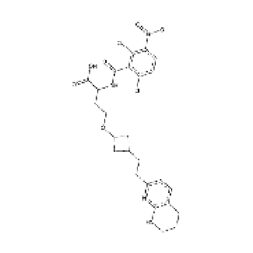 O=C(NC(CCOC1CC(CCc2ccc3c(n2)NCCC3)C1)C(=O)O)c1c(Cl)ccc([N+](=O)[O-])c1Cl